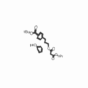 CCCOC(=O)CC(=O)OCCCc1ccc(C(=O)OC(C)(C)C)cc1.Oc1ccccc1